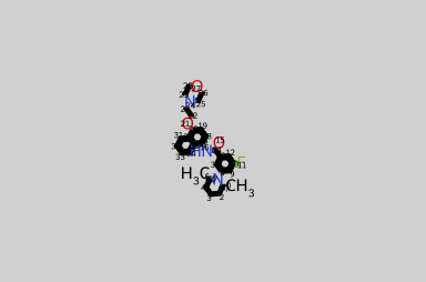 C[C@@H]1CCC[C@H](C)N1c1cc(F)cc(C(=O)Nc2ccc(OCCN3CCOCC3)c3ccccc23)c1